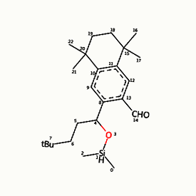 C[SiH](C)OC(CCC(C)(C)C)c1cc2c(cc1C=O)C(C)(C)CCC2(C)C